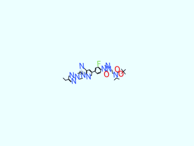 CCc1cnc(N2CCN(c3ncc(-c4ccc(-n5cnn(CCN(C(=O)OC(C)(C)C)C(C)C)c5=O)c(F)c4)cc3C#N)[C@@H](C)C2)nc1